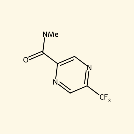 CNC(=O)c1cnc(C(F)(F)F)cn1